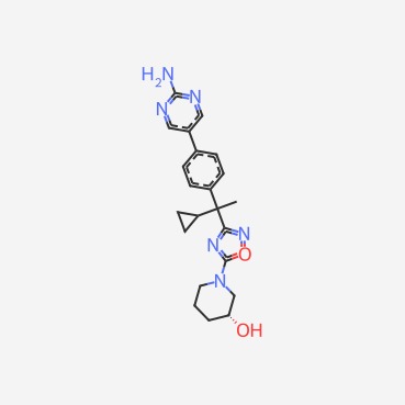 CC(c1ccc(-c2cnc(N)nc2)cc1)(c1noc(N2CCC[C@@H](O)C2)n1)C1CC1